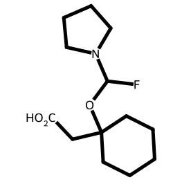 O=C(O)CC1(OC(F)N2CCCC2)CCCCC1